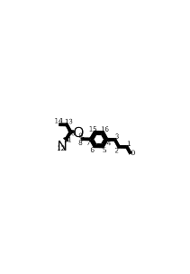 CCCCc1ccc(COC(C#N)CC)cc1